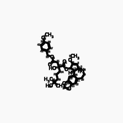 COC1=CC23CCCN2CCc2cc4c(cc2[C@@H]3C1OC(=O)[C@@](O)(CCCC(C)(C)O)CC(=O)OCc1ccc(OC)cc1)OCO4